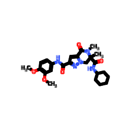 COc1ccc(NC(=O)c2cc3n(n2)CC(C)(C(=O)NC2CCCCC2)N(C)C3=O)cc1OC